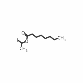 CCCCCCCC(=O)OC(C)I